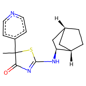 CC1(c2ccncc2)SC(N[C@H]2C[C@@H]3CC[C@H]2C3)=NC1=O